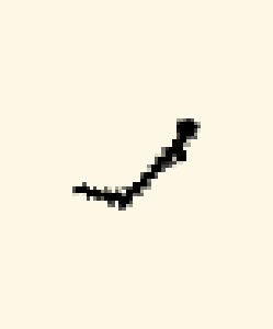 CCCCCCCC/C=C\CCCCCCCCCCCC(=O)OCc1ccccc1